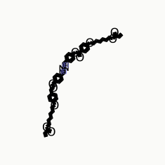 C=CC(=O)OCCCCCCOc1ccc(COOc2ccc(/C=N/N=C/c3ccc(OC(=O)c4ccc(OCCCCCCOC(=O)C=C)cc4)cc3)cc2)cc1